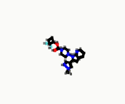 Cn1cc(-c2cc3cccnc3n2N2CCN(C(=O)OC3CCC3(F)F)CC2)cn1